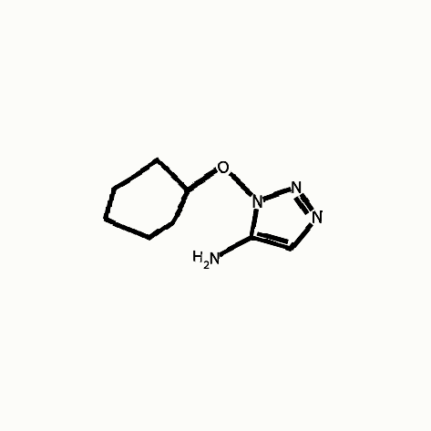 Nc1cnnn1OC1CCCCC1